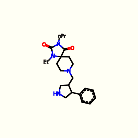 CCCN1C(=O)N(CC)C2(CCN(CC3CNCC3c3ccccc3)CC2)C1=O